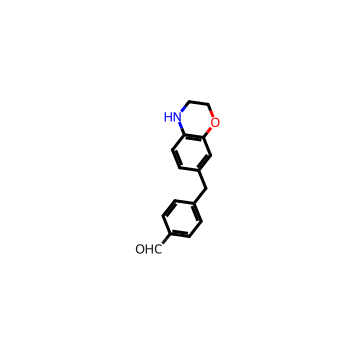 O=Cc1ccc(Cc2ccc3c(c2)OCCN3)cc1